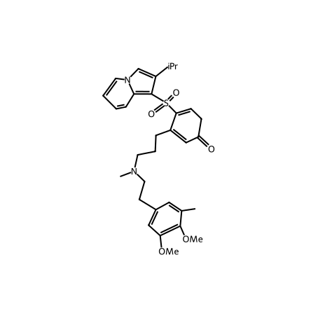 COc1cc(CCN(C)CCCC2=CC(=O)CC=C2S(=O)(=O)c2c(C(C)C)cn3ccccc23)cc(C)c1OC